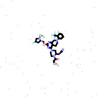 C=CC(=O)N1CCN(c2nc(OC[C@H]3CC(F)CN3C)nc3c2CCN(c2cccc(F)c2C(F)(F)F)C3)CC1CC#N